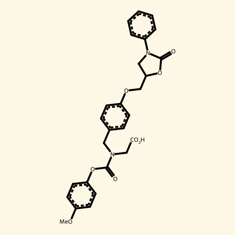 COc1ccc(OC(=O)N(CC(=O)O)Cc2ccc(OCC3CN(c4ccccc4)C(=O)O3)cc2)cc1